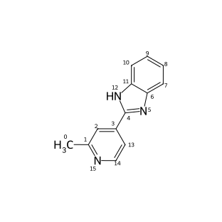 Cc1cc(-c2nc3ccccc3[nH]2)ccn1